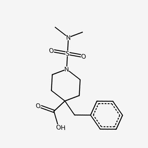 CN(C)S(=O)(=O)N1CCC(Cc2ccccc2)(C(=O)O)CC1